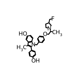 Cc1c(-c2ccc(O)cc2)n(Cc2ccc(OCC(C)N3CCC(CF)C3)cc2)c2ccc(O)cc12